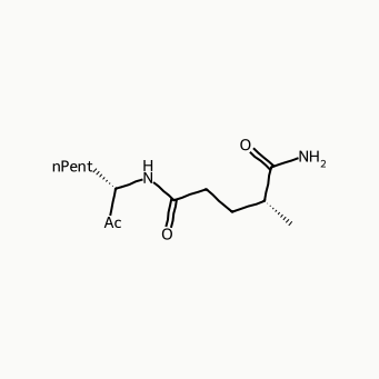 CCCCC[C@H](NC(=O)CC[C@@H](C)C(N)=O)C(C)=O